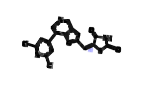 O=C1NC(=O)/C(=C\c2cc3cncc(-c4cc(Cl)nc(Cl)c4)c3o2)S1